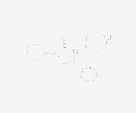 O=C1N(C2CCCC2)C[C@@H](c2ccsc2)N1C1CCNCC1